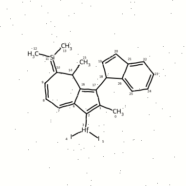 CC1=[C]([Hf]([I])[I])C2=CC=CC(=[Si](C)C)C(C)C2=C1C1C=Cc2ccccc21